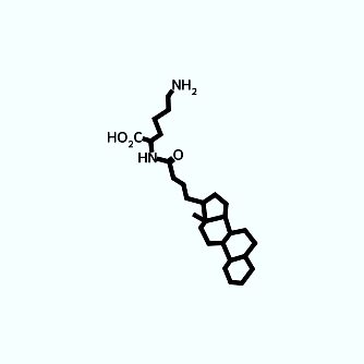 CC12CCC3C4CCCCC4CCC3C1CCC2CCCC(=O)NC(CCCCN)C(=O)O